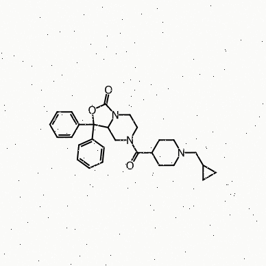 O=C(C1CCN(CC2CC2)CC1)N1CCN2C(=O)OC(c3ccccc3)(c3ccccc3)C2C1